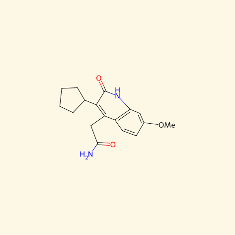 COc1ccc2c(CC(N)=O)c(C3CCCC3)c(=O)[nH]c2c1